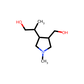 CC(CO)C1CN(C)CC1CO